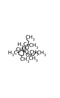 CCCC(C)(C)OOC1(OOC(C)(C)CCC)CC(C)CC(C)(C)C1